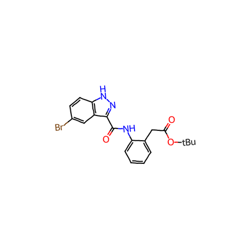 CC(C)(C)OC(=O)Cc1ccccc1NC(=O)c1n[nH]c2ccc(Br)cc12